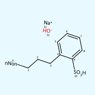 CCCCCCCCCCCCc1ccccc1S(=O)(=O)O.[Na+].[OH-]